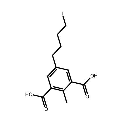 Cc1c(C(=O)O)cc(CCCCI)cc1C(=O)O